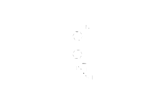 N#Cc1ccc(Oc2ccc(C(=O)N[C@@H]3C[C@H]4CC[C@@H]3N4)cc2)cc1